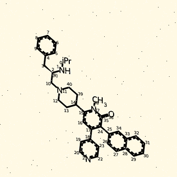 CC(C)N[C@H](Cc1ccccc1)CN1CCC(c2cc(-c3ccncc3)c(-c3ccc4ccccc4c3)c(=O)n2C)CC1